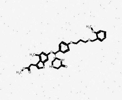 COC(=O)Cc1csc2cc(OC(c3ccc(OCCCOCc4ccccc4OC)cc3)[C@H]3CNCC(=O)N3)cc(C)c12